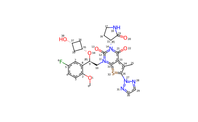 COc1ccc(F)cc1[C@H](Cn1c(=O)n([C@@H]2CCNC2=O)c(=O)c2c(C)c(-n3nccn3)sc21)O[C@H]1C[C@@H](O)C1